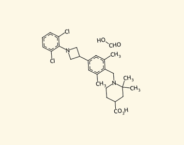 Cc1cc(C2CN(c3c(Cl)cccc3Cl)C2)cc(C)c1CN1CCC(C(=O)O)CC1(C)C.O=CO